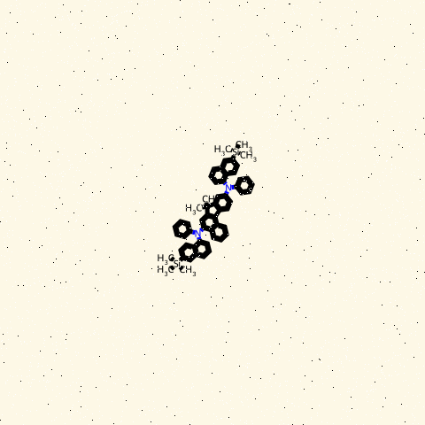 CC1(C)c2cc(N(c3ccccc3)c3cccc4cc([Si](C)(C)C)ccc34)ccc2-c2c1cc(N(c1ccccc1)c1cccc3cc([Si](C)(C)C)ccc13)c1ccccc21